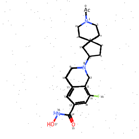 CC(=O)N1CCC2(CCC(N3CCc4cc(C(=O)NO)cc(F)c4C3)C2)CC1